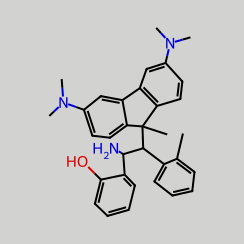 Cc1ccccc1C(C(N)c1ccccc1O)C1(C)c2ccc(N(C)C)cc2-c2cc(N(C)C)ccc21